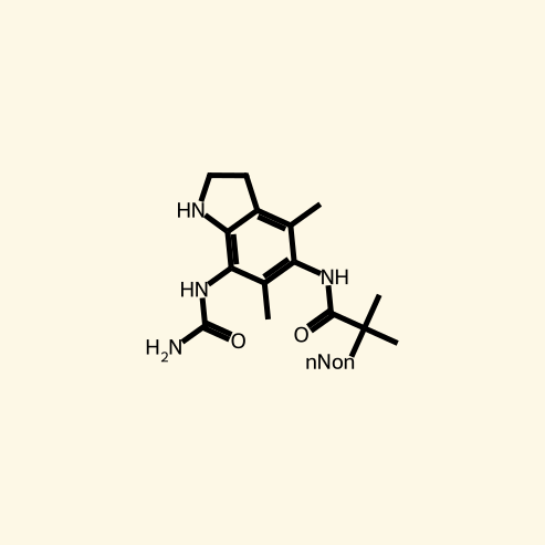 CCCCCCCCCC(C)(C)C(=O)Nc1c(C)c2c(c(NC(N)=O)c1C)NCC2